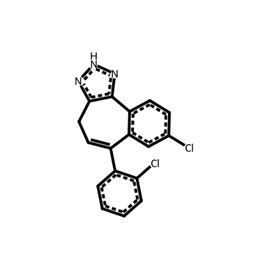 Clc1ccc2c(c1)C(c1ccccc1Cl)=CCc1n[nH]nc1-2